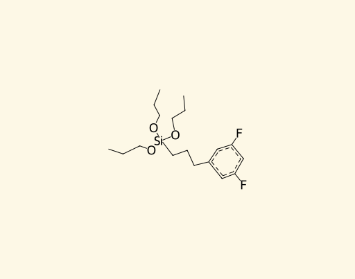 CCCO[Si](CCCc1cc(F)cc(F)c1)(OCCC)OCCC